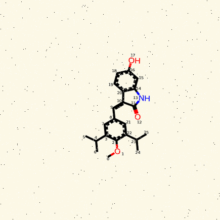 COc1c(C(C)C)cc(/C=C2\C(=O)Nc3cc(O)ccc32)cc1C(C)C